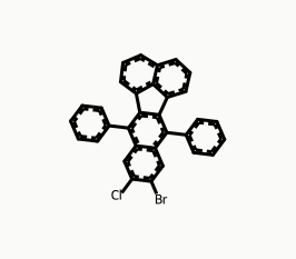 Clc1cc2c(-c3ccccc3)c3c(c(-c4ccccc4)c2cc1Br)-c1cccc2cccc-3c12